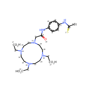 CCC(=S)Nc1ccc(NC(=O)CN2CCN(CC(=O)O)CCN(CC(=O)O)CCN(CC(=O)O)CC2)cc1